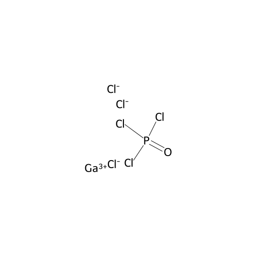 O=P(Cl)(Cl)Cl.[Cl-].[Cl-].[Cl-].[Ga+3]